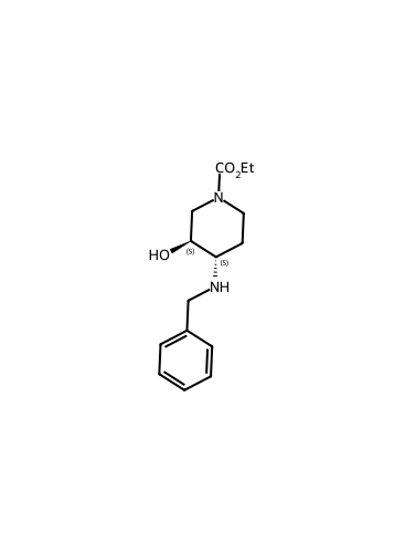 CCOC(=O)N1CC[C@H](NCc2ccccc2)[C@@H](O)C1